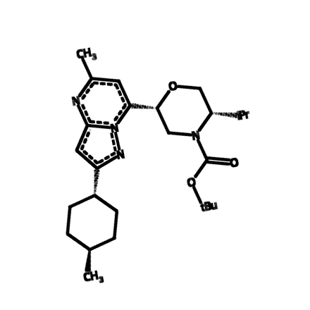 Cc1cc([C@H]2CN(C(=O)OC(C)(C)C)[C@@H](C(C)C)CO2)n2nc([C@H]3CC[C@H](C)CC3)cc2n1